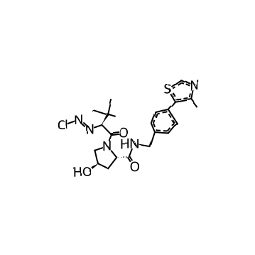 Cc1ncsc1-c1ccc(CNC(=O)[C@@H]2C[C@@H](O)CN2C(=O)[C@@H](/N=N/Cl)C(C)(C)C)cc1